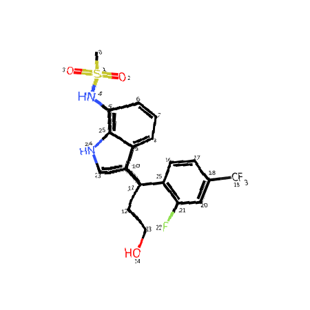 CS(=O)(=O)Nc1cccc2c(C(CCO)c3ccc(C(F)(F)F)cc3F)c[nH]c12